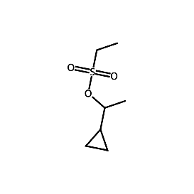 CCS(=O)(=O)OC(C)C1CC1